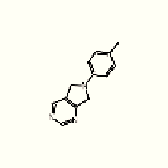 Cc1ccc(N2Cc3[c]ncnc3C2)cc1